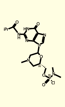 CC(C)C(=O)Nc1nc2c(ncn2C2CN(C)C[C@@H](CO[P@](=O)(Cl)N(C)C)O2)c(=O)[nH]1